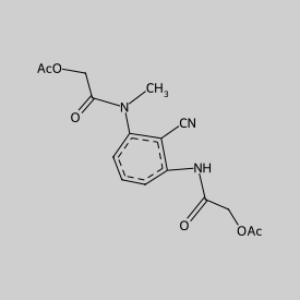 CC(=O)OCC(=O)Nc1cccc(N(C)C(=O)COC(C)=O)c1C#N